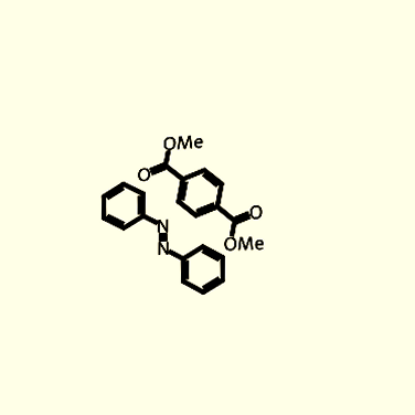 COC(=O)c1ccc(C(=O)OC)cc1.c1ccc(N=Nc2ccccc2)cc1